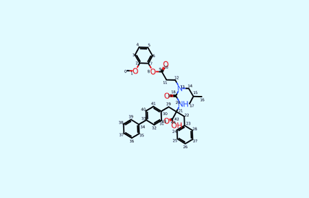 COc1ccccc1OC(=O)CCN(CC(C)C)C(=O)NC(Cc1ccccc1)(Cc1ccc(-c2ccccc2)cc1)C(=O)O